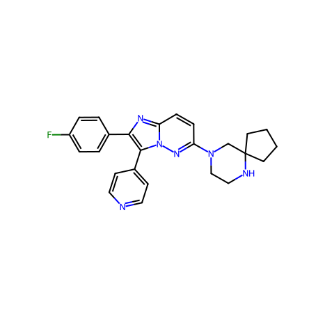 Fc1ccc(-c2nc3ccc(N4CCNC5(CCCC5)C4)nn3c2-c2ccncc2)cc1